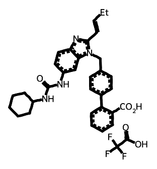 CC/C=C/c1nc2ccc(NC(=O)NC3CCCCC3)cc2n1Cc1ccc(-c2ccccc2C(=O)O)cc1.O=C(O)C(F)(F)F